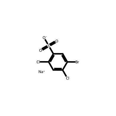 O=S(=O)([O-])c1cc(Br)c(Cl)cc1Cl.[Na+]